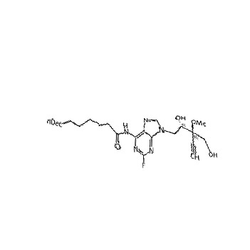 C#C[C@](CO)(OC)[C@@H](O)Cn1cnc2c(NC(=O)CCCCCCCCCCCCCCC)nc(F)nc21